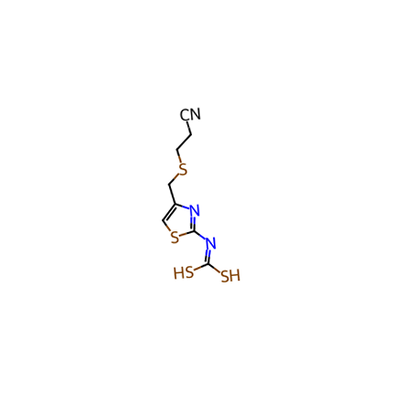 N#CCCSCc1csc(N=C(S)S)n1